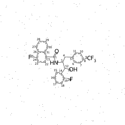 O=C(NC(Cc1ccc(C(F)(F)F)cc1)C(O)c1ccccc1F)c1ccc(F)c2ccccc12